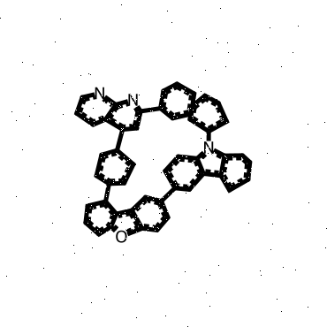 c1ccc(-c2cc(-c3ccc(-c4cccc5oc6ccc(-c7ccc8c(c7)c7ccccc7n8-c7ccccc7)cc6c45)cc3)c3cccnc3n2)cc1